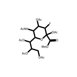 COC(=O)C1(OC(C)=O)OC(C(OC(C)=O)C(COC(C)=O)OC(C)=O)C(NC(C)=O)C(OC(C)=O)C1F